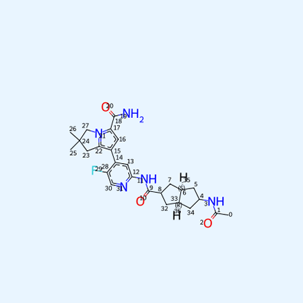 CC(=O)NC1C[C@@H]2CC(C(=O)Nc3cc(-c4cc(C(N)=O)n5c4CC(C)(C)C5)c(F)cn3)C[C@@H]2C1